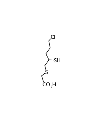 O=C(O)CSCC(S)CCCCl